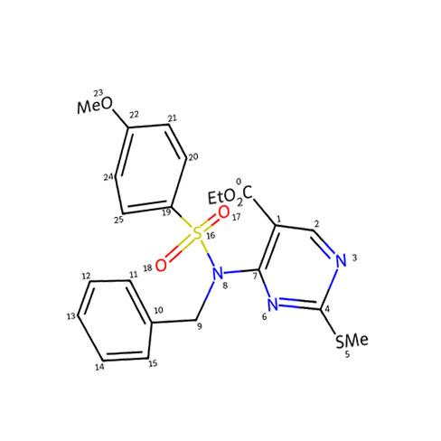 CCOC(=O)c1cnc(SC)nc1N(Cc1ccccc1)S(=O)(=O)c1ccc(OC)cc1